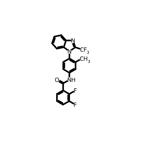 Cc1cc(NC(=O)c2cccc(F)c2F)ccc1-n1c(C(F)(F)F)nc2ccccc21